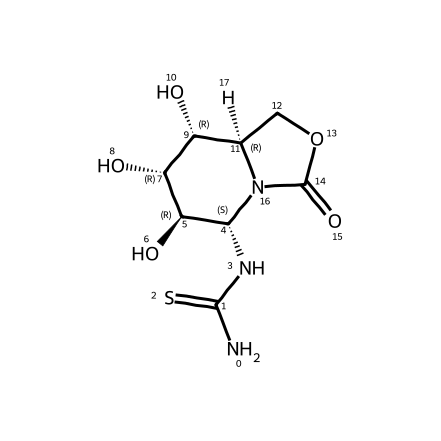 NC(=S)N[C@@H]1[C@@H](O)[C@H](O)[C@H](O)[C@H]2COC(=O)N21